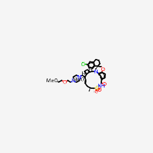 COCCOCCN1CCN(C[C@]2(OC)/C=C/C[C@H](C)[C@@H](C)S(=O)(=O)NC(=O)c3ccc4c(c3)N(C[C@@H]3CC[C@H]32)C[C@@]2(CCCc3cc(Cl)ccc32)CO4)CC1